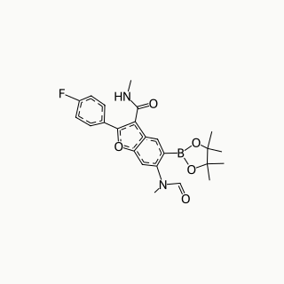 CNC(=O)c1c(-c2ccc(F)cc2)oc2cc(N(C)C=O)c(B3OC(C)(C)C(C)(C)O3)cc12